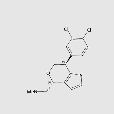 CNC[C@@H]1OC[C@@H](c2ccc(Cl)c(Cl)c2)c2sccc21